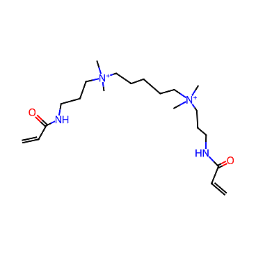 C=CC(=O)NCCC[N+](C)(C)CCCCC[N+](C)(C)CCCNC(=O)C=C